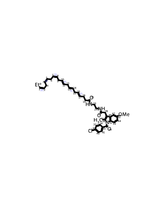 CC/C=C\C/C=C\C/C=C\C/C=C/C/C=C/C/C=C/CCC(=O)NCCNC(=O)Cc1c(C)n(C(=O)c2ccc(Cl)cc2)c2ccc(OC)cc12